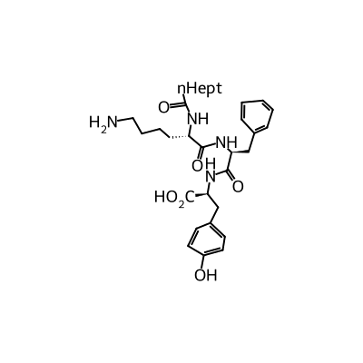 CCCCCCCC(=O)N[C@@H](CCCCN)C(=O)N[C@@H](Cc1ccccc1)C(=O)N[C@@H](Cc1ccc(O)cc1)C(=O)O